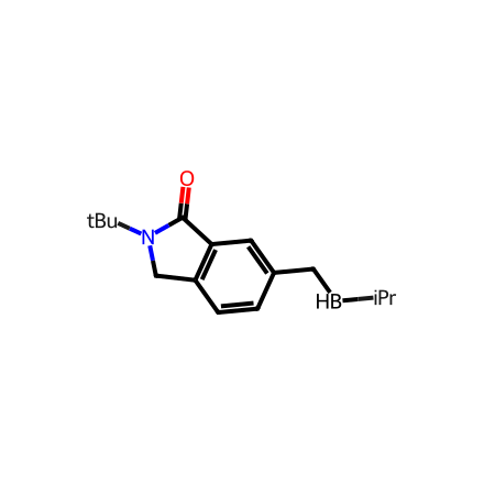 CC(C)BCc1ccc2c(c1)C(=O)N(C(C)(C)C)C2